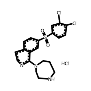 Cl.O=S(=O)(c1ccc(Cl)c(Cl)c1)c1ccc2ccnc(N3CCCNCC3)c2c1